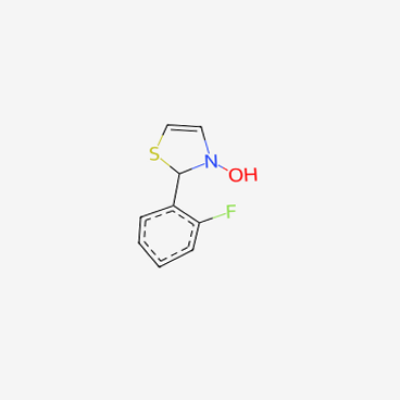 ON1C=CSC1c1ccccc1F